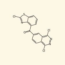 O=C(c1ccc2c(Cl)nnc(Cl)c2c1)c1cccc2sc(Cl)nc12